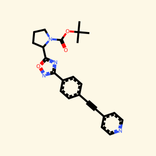 CC(C)(C)OC(=O)N1CCCC1c1nc(-c2ccc(C#Cc3ccncc3)cc2)no1